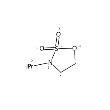 CC(C)N1CCOS1(=O)=O